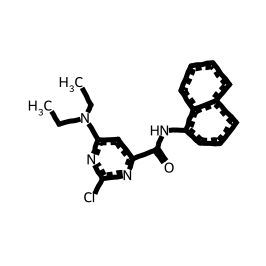 CCN(CC)c1cc(C(=O)Nc2cccc3ccccc23)nc(Cl)n1